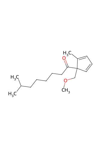 COCC1(C(=O)CCCCCC(C)C)C=CC=C1C